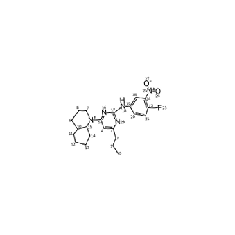 CCCc1cc(N2CCCC3CCCCC32)nc(Nc2ccc(F)c([N+](=O)[O-])c2)n1